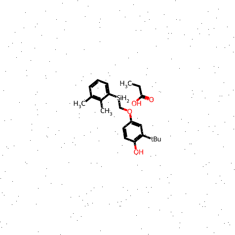 CCC(=O)O.Cc1cccc([SiH2]COc2ccc(O)c(C(C)(C)C)c2)c1C